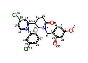 COc1ccc(CN2C(=O)CC[C@H](c3cc(Cl)ccn3)[C@H]2c2ccc(Cl)cc2)c(OC)c1